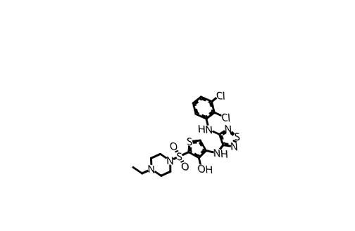 CCN1CCN(S(=O)(=O)c2scc(Nc3nsnc3Nc3cccc(Cl)c3Cl)c2O)CC1